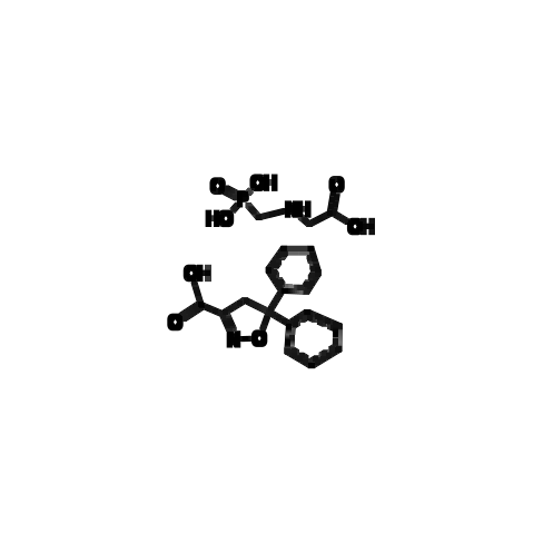 O=C(O)C1=NOC(c2ccccc2)(c2ccccc2)C1.O=C(O)CNCP(=O)(O)O